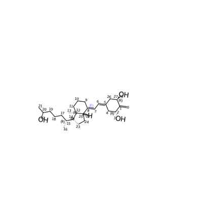 C=C1[C@H](O)CC(=C/C=C2\CCC[C@]3(C)[C@@H]([C@H](C)CCCC(C)O)CC[C@@H]23)C[C@H]1O